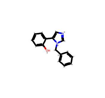 Oc1ccccc1-c1cncn1Cc1ccccc1